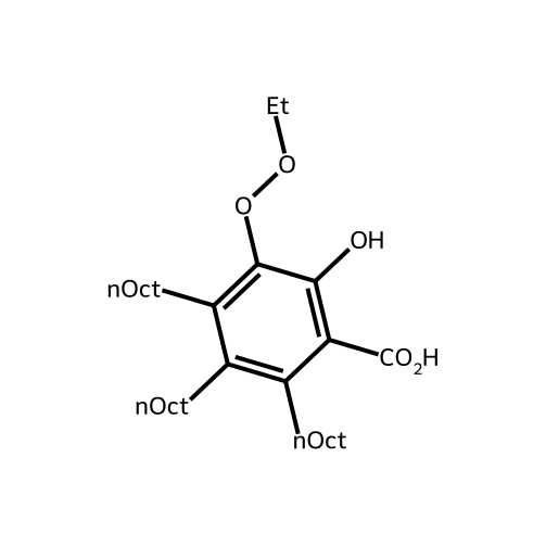 CCCCCCCCc1c(CCCCCCCC)c(OOCC)c(O)c(C(=O)O)c1CCCCCCCC